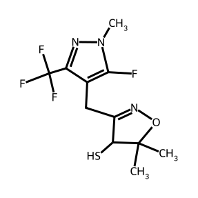 Cn1nc(C(F)(F)F)c(CC2=NOC(C)(C)C2S)c1F